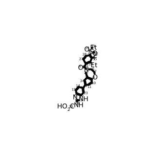 CCc1c(C(=O)N2CCOc3ccc(-c4ccc5nc(NC(=O)O)[nH]c5c4)cc3C2)ccc(S(=O)(=O)CC)c1F